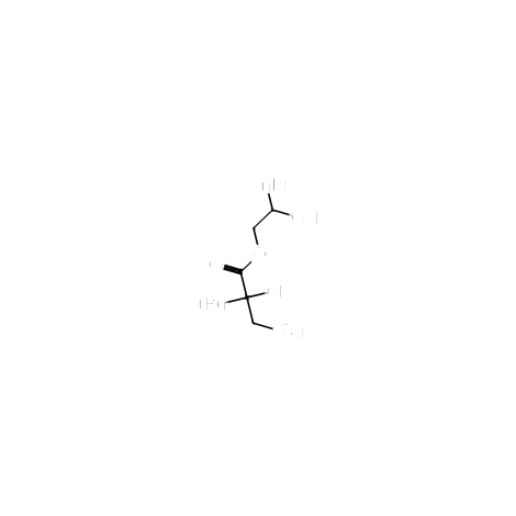 CCCC(O)COC(=O)C(C)(CC(C)(C)C)C(C)(C)C